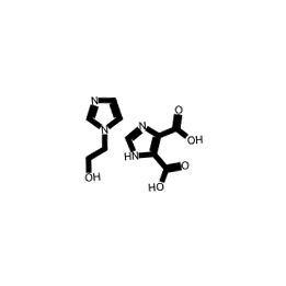 O=C(O)c1nc[nH]c1C(=O)O.OCCn1ccnc1